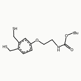 CC(C)(C)OC(=O)NCCOc1ccc(CS)c(CS)c1